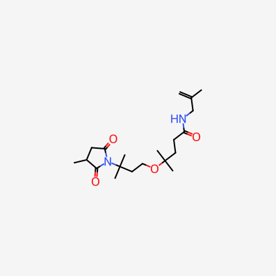 C=C(C)CNC(=O)CCC(C)(C)OCCC(C)(C)N1C(=O)CC(C)C1=O